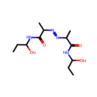 CCC(O)NC(=O)C(C)N=NC(C)C(=O)NC(O)CC